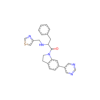 O=C(C(Cc1ccccc1)NCc1cscn1)N1CCc2ccc(-c3cncnc3)cc21